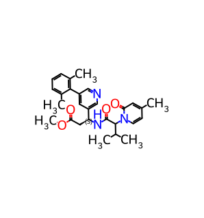 COC(=O)C[C@H](NC(=O)C(C(C)C)n1ccc(C)cc1=O)c1cncc(-c2c(C)cccc2C)c1